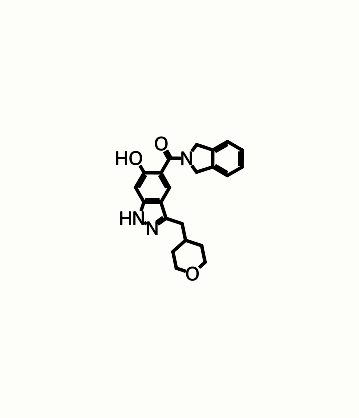 O=C(c1cc2c(CC3CCOCC3)n[nH]c2cc1O)N1Cc2ccccc2C1